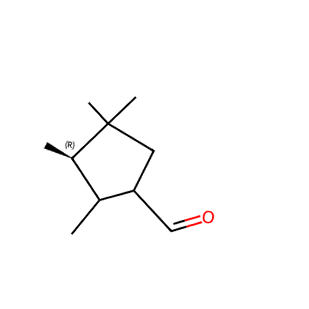 CC1C(C=O)CC(C)(C)[C@@H]1C